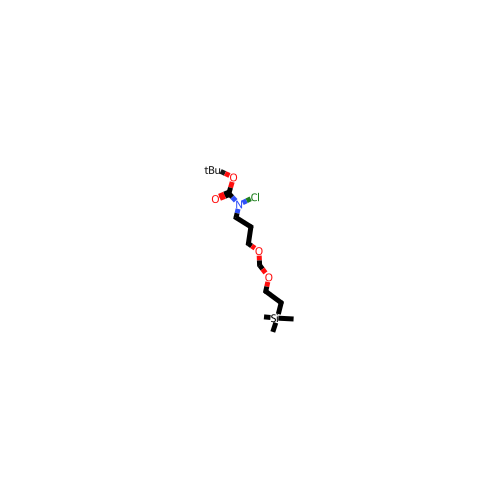 CC(C)(C)OC(=O)N(Cl)CCCOCOCC[Si](C)(C)C